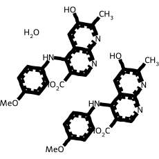 COc1ccc(Nc2c(C(=O)O)cnc3nc(C)c(O)cc23)cc1.COc1ccc(Nc2c(C(=O)O)cnc3nc(C)c(O)cc23)cc1.O